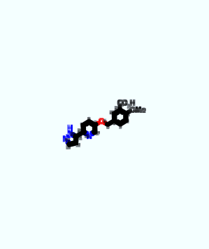 COc1ccc(COc2ccc(-c3ccn[nH]3)nc2)cc1C(=O)O